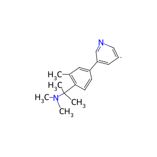 Cc1cc(-c2c[c]cnc2)ccc1C(C)(C)N(C)C